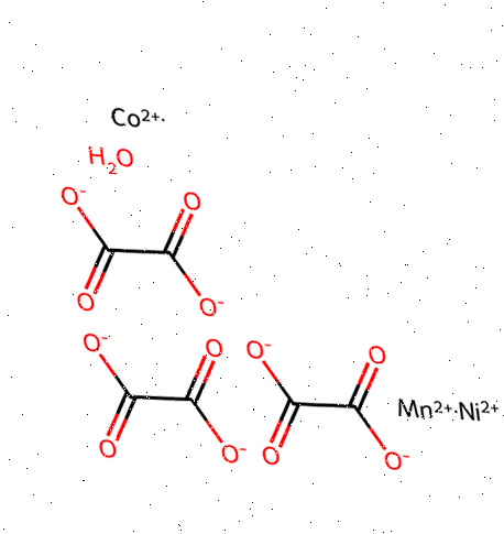 O.O=C([O-])C(=O)[O-].O=C([O-])C(=O)[O-].O=C([O-])C(=O)[O-].[Co+2].[Mn+2].[Ni+2]